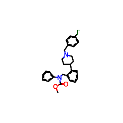 COC(=O)N(Cc1ccccc1C1CCN(Cc2ccc(F)cc2)CC1)c1ccccc1